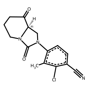 Cc1c(N2C[C@@H]3C(=O)CCCN3C2=O)ccc(C#N)c1Cl